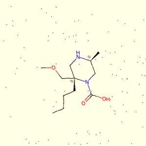 CCCC[C@@]1(COC)CN[C@@H](C)CN1C(=O)O